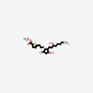 CCCCCC(O)/C=C/C1[C@@H](CCCC2=CCC(C(=O)OC)S2)C(Cl)C[C@H]1O